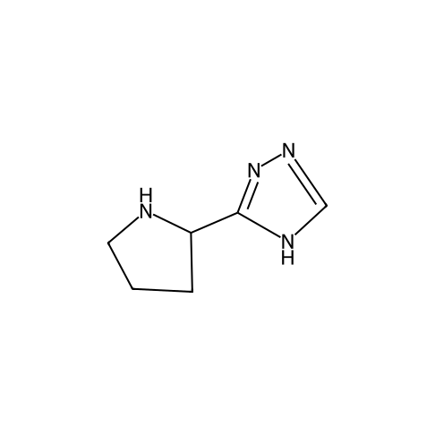 c1nnc(C2CCCN2)[nH]1